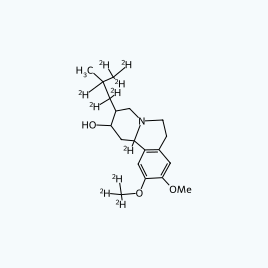 [2H]C([2H])([2H])Oc1cc2c(cc1OC)CCN1CC(C([2H])([2H])C([2H])(C)C([2H])([2H])[2H])C(O)CC21[2H]